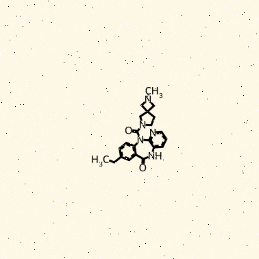 CCc1ccc2c(c1)C(=O)Nc1cccnc1N2C(=O)N1CCC2(CN(C)C2)C1